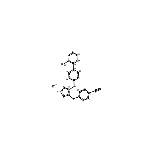 Cl.N#Cc1ccc(Cc2cncn2Cc2ccc(-c3ccccc3Br)cc2)cc1